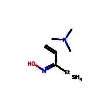 C=CC(CC)=NO.CN(C)C.[SiH4]